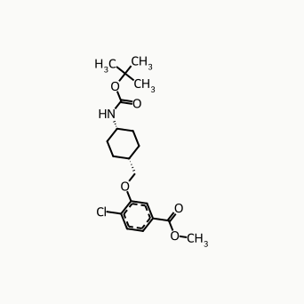 COC(=O)c1ccc(Cl)c(OC[C@H]2CC[C@@H](NC(=O)OC(C)(C)C)CC2)c1